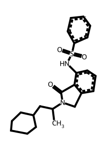 CC(CC1CCCCC1)N1Cc2cccc(NS(=O)(=O)c3cc[c]cc3)c2C1=O